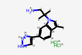 Cc1cn(C(C)(C)CN)c2cc(-c3c[nH]nn3)ccc12.Cl.Cl